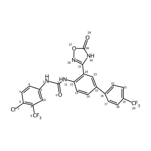 O=C(Nc1ccc(Cl)c(C(F)(F)F)c1)Nc1ccc(-c2ccc(C(F)(F)F)cc2)cc1-c1noc(=O)[nH]1